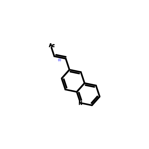 CC(=O)/C=C/c1ccc2ncccc2c1